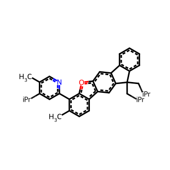 Cc1cnc(-c2c(C)ccc3c2oc2cc4c(cc23)C(CC(C)C)(CC(C)C)c2ccccc2-4)cc1C(C)C